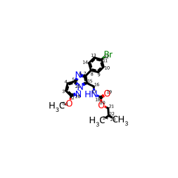 COc1ccc2nc(-c3ccc(Br)cc3)c(CNC(=O)OCC(C)C)n2n1